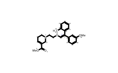 COC(=O)C1=CCCN(CCO/C=C(/c2cccc(OC)c2)c2ccccc2C)C1